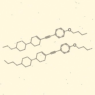 CCCCOc1ccc(C#CC2=CCC(C3CCC(CCC)CC3)CC2)cc1.CCCCOc1ccc(C#CC2=CCC(C3CCC(CCCC)CC3)CC2)cc1